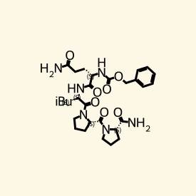 CC[C@H](C)[C@H](NC(=O)[C@H](CCC(N)=O)NC(=O)OCc1ccccc1)C(=O)N1CCC[C@H]1C(=O)N1CCC[C@H]1C(N)=O